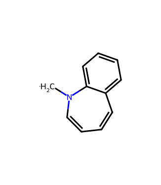 [CH2]N1C=CC=Cc2ccccc21